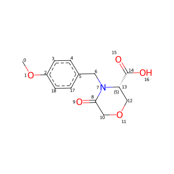 COc1ccc(CN2C(=O)COC[C@H]2C(=O)O)cc1